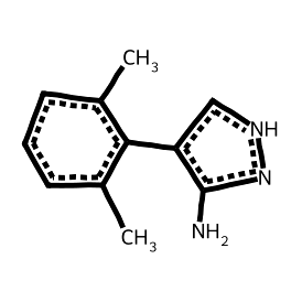 Cc1cccc(C)c1-c1c[nH]nc1N